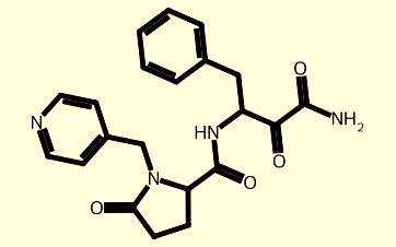 NC(=O)C(=O)C(Cc1ccccc1)NC(=O)C1CCC(=O)N1Cc1ccncc1